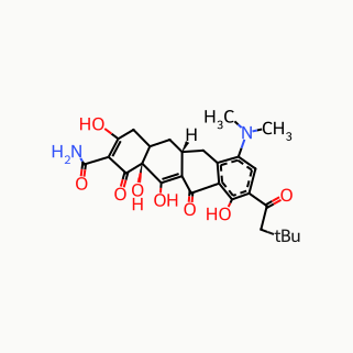 CN(C)c1cc(C(=O)CC(C)(C)C)c(O)c2c1C[C@H]1CC3CC(O)=C(C(N)=O)C(=O)[C@@]3(O)C(O)=C1C2=O